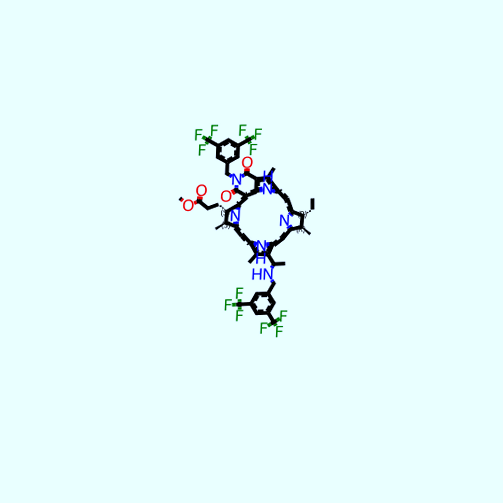 CC[C@H]1c2cc3[nH]c4c(c5nc(cc6[nH]c(cc(n2)[C@@H]1C)c(C(C)NCc1cc(C(F)(F)F)cc(C(F)(F)F)c1)c6C)[C@@H](C)[C@@H]5CCC(=O)OC)C(=O)N(Cc1cc(C(F)(F)F)cc(C(F)(F)F)c1)C(=O)c4c3C